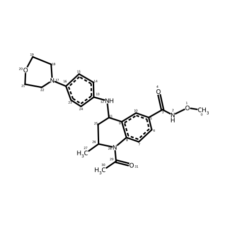 CONC(=O)c1ccc2c(c1)C(Nc1ccc(N3CCOCC3)cc1)CC(C)N2C(C)=O